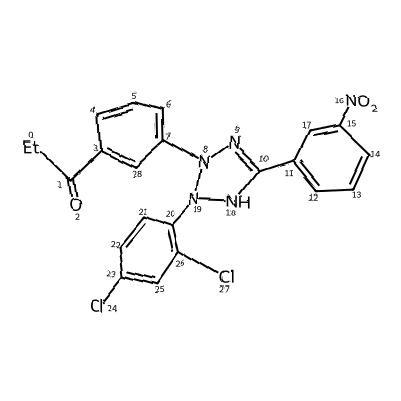 CCC(=O)c1cccc(N2N=C(c3cccc([N+](=O)[O-])c3)NN2c2ccc(Cl)cc2Cl)c1